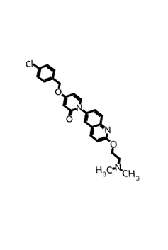 CN(C)CCOc1ccc2cc(-n3ccc(OCc4ccc(Cl)cc4)cc3=O)ccc2n1